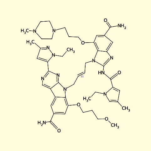 CCn1cc(C)cc1C(=O)Nc1nc2cc(C(N)=O)cc(OCCCN3CCN(C)CC3)c2n1C/C=C/Cn1c2nc(-c3cc(C)nn3CC)ncc2c2cc(C(N)=O)cc(OCCCOC)c21